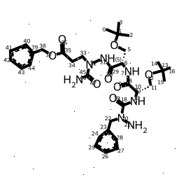 CC(C)(C)OC[C@H](NC(=O)[C@H](COC(C)(C)C)NC(=O)N(N)Cc1ccccc1)C(=O)NN(CCC(=O)OCc1ccccc1)C(N)=O